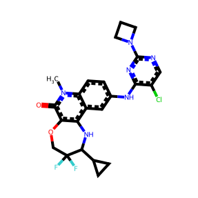 Cn1c(=O)c2c(c3cc(Nc4nc(N5CCC5)ncc4Cl)ccc31)NC(C1CC1)C(F)(F)CO2